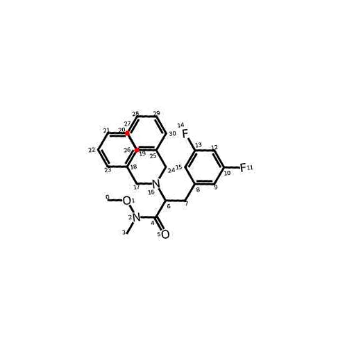 CON(C)C(=O)C(Cc1cc(F)cc(F)c1)N(Cc1ccccc1)Cc1ccccc1